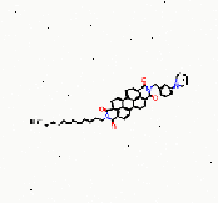 CCCCCCCCCCCCN1C(=O)c2ccc3c4ccc5c6c(ccc(c7ccc(c2c37)C1=O)c64)C(=O)N(Cc1cccc(N2CCCCC2)c1)C5=O